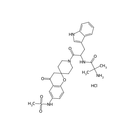 CC(C)(N)C(=O)NC(Cc1c[nH]c2ccccc12)C(=O)N1CCC2(CC1)CC(=O)c1cc(NS(C)(=O)=O)ccc1O2.Cl